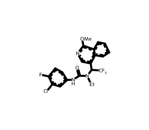 CCN(C(=O)Nc1ccc(F)c(Cl)c1)C(c1cnc(OC)c2ccccc12)C(F)(F)F